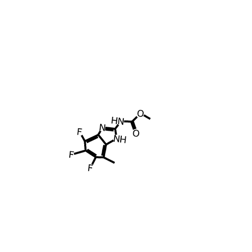 COC(=O)Nc1nc2c(F)c(F)c(F)c(C)c2[nH]1